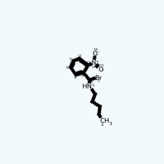 CCCCCNC(Br)c1ccccc1[N+](=O)[O-]